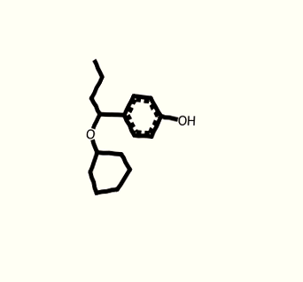 CCCC(OC1CCCCC1)c1ccc(O)cc1